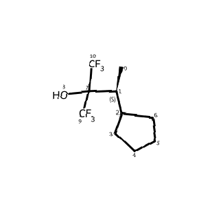 C[C@@H](C1CCCC1)C(O)(C(F)(F)F)C(F)(F)F